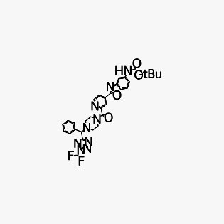 CC(C)(C)OC(=O)Nc1ccc2oc(-c3ccnc(C(=O)N4CCN(C(c5ccccc5)c5nnn(C(F)F)n5)CC4)c3)nc2c1